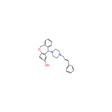 Oc1ccc2c(c1)C(N1CCN(CC=Cc3ccccc3)CC1)c1ccccc1CO2